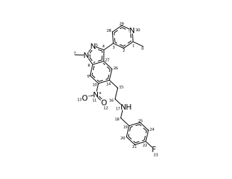 Cc1cc(-c2nn(C)c3cc([N+](=O)[O-])c(CCNCc4ccc(F)cc4)cc23)ccn1